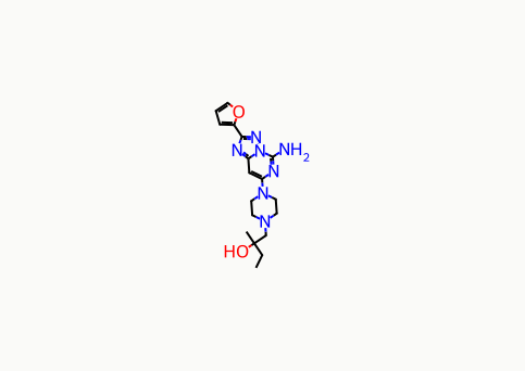 CCC(C)(O)CN1CCN(c2cc3nc(-c4ccco4)nn3c(N)n2)CC1